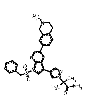 CN1CCc2ccc(-c3cnc4c(c3)c(-c3cnn(C(C)(C)C(N)=O)c3)cn4S(=O)(=O)Cc3ccccc3)cc2C1